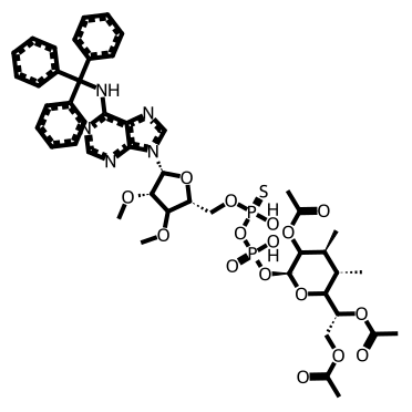 COC1[C@@H](COP(O)(=S)OP(=O)(O)O[C@@H]2OC([C@@H](COC(C)=O)OC(C)=O)[C@@H](C)[C@H](C)C2OC(C)=O)O[C@@H](n2cnc3c(NC(c4ccccc4)(c4ccccc4)c4ccccc4)ncnc32)[C@H]1OC